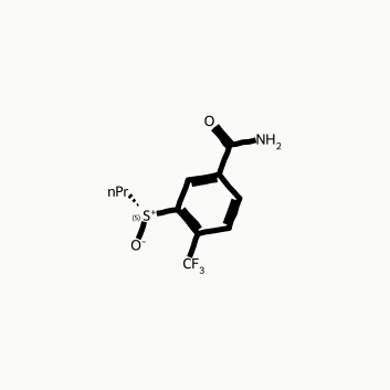 CCC[S@@+]([O-])c1cc(C(N)=O)ccc1C(F)(F)F